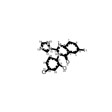 O=c1c2cc(I)ccc2nc(-n2cncn2)n1-c1ccc(Cl)cc1Cl